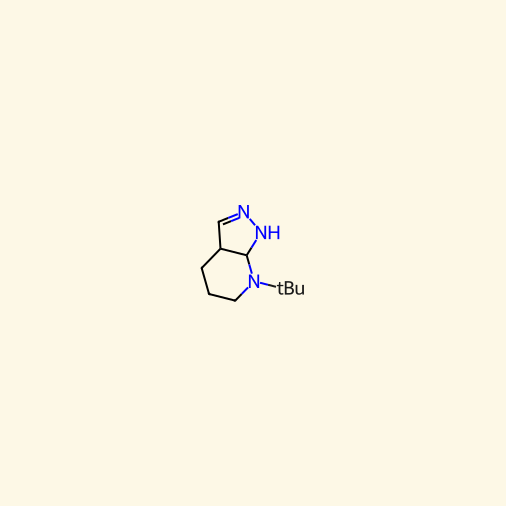 CC(C)(C)N1CCCC2C=NNC21